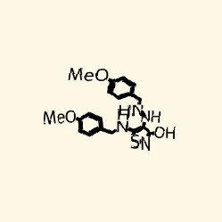 COc1ccc(CNNc2c(O)nsc2NCc2ccc(OC)cc2)cc1